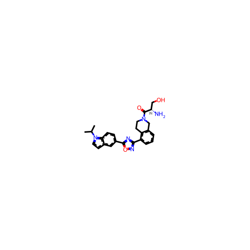 CC(C)n1ccc2cc(-c3nc(-c4cccc5c4CCN(C(=O)[C@@H](N)CO)C5)no3)ccc21